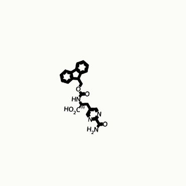 NC(=O)c1ncc(C[C@H](NC(=O)OCC2c3ccccc3-c3ccccc32)C(=O)O)cn1